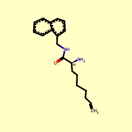 C=CCCCCC[C@H](N)C(=O)NCc1cccc2ccccc12